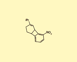 CC(C)C1=CC2c3c(cccc3[N+](=O)[O-])C2CC1